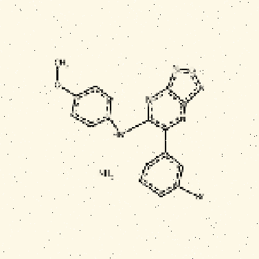 COc1ccc(Nc2nc3nonc3nc2-c2cccc(Br)c2)cc1.N